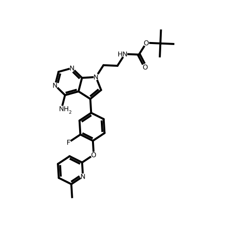 Cc1cccc(Oc2ccc(-c3cn(CCNC(=O)OC(C)(C)C)c4ncnc(N)c34)cc2F)n1